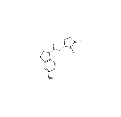 C=C1CC[C@@H](CN(C)C2CCc3cc(C(C)(C)C)ccc32)N1C